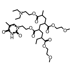 CCC(CC(CC(CC(C)C(=O)OCCN(CC)CC)C(=O)OCCOC)C(=O)OCCn1cc(C)c(=O)[nH]c1=O)C(=O)OCCOC